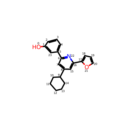 Oc1cccc(-c2cc(C3CCCCC3)cc(-c3ccco3)n2)c1